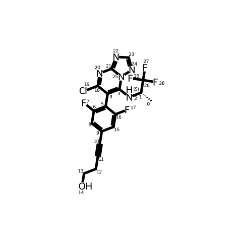 C[C@H](Nc1c(-c2c(F)cc(C#CCCO)cc2F)c(Cl)nc2ncnn12)C(F)(F)F